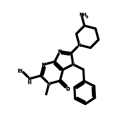 CCNc1nc2nc(N3CCCC(N)C3)n(Cc3ccccc3)c2c(=O)n1C